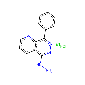 Cl.Cl.NNc1nnc(-c2ccccc2)c2ncccc12